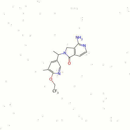 Cc1cc(C(C)N2Cc3c(ccnc3N)C2=O)cnc1OCC(F)(F)F